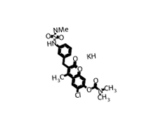 CNS(=O)(=O)Nc1cccc(Cc2c(C)c3cc(Cl)c(OC(=O)N(C)C)cc3oc2=O)c1.[KH]